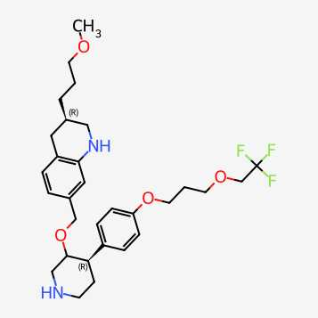 COCCC[C@H]1CNc2cc(COC3CNCC[C@@H]3c3ccc(OCCCOCC(F)(F)F)cc3)ccc2C1